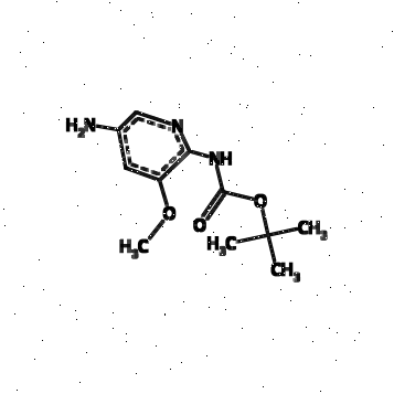 COc1cc(N)cnc1NC(=O)OC(C)(C)C